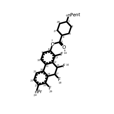 CCCCCC1CCC(C(=O)Oc2ccc3c(c2F)C(F)C(F)c2c-3ccc(CCC)c2F)CC1